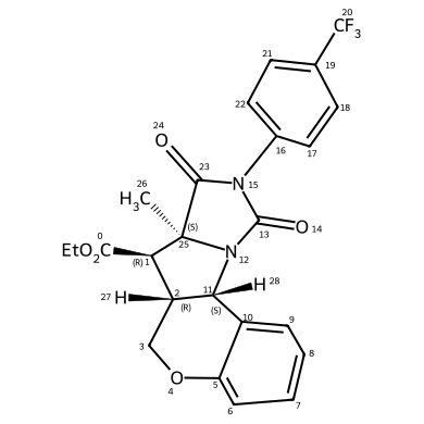 CCOC(=O)[C@@H]1[C@H]2COc3ccccc3[C@H]2N2C(=O)N(c3ccc(C(F)(F)F)cc3)C(=O)[C@]12C